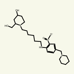 O=[N+]([O-])c1cc(CN2CCCCC2)ccc1NCCCCCCN1CCC(O)CC1CO